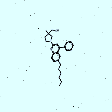 CCCCCCc1ccc2nc(N3CCC(C)(CO)C3)cc(-c3ccccc3)c2c1